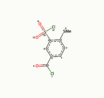 CSc1ccc(C(=O)Cl)cc1S(=O)(=O)Cl